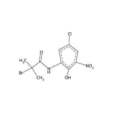 CC(C)(Br)C(=O)Nc1cc(Cl)cc([N+](=O)[O-])c1O